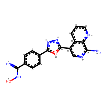 N=C(NO)c1ccc(-c2nnc(-c3cnc(N)c4ncccc34)o2)cc1